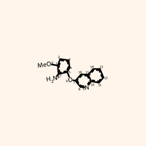 COc1cccc(Oc2cnc3ccccc3c2)c1N